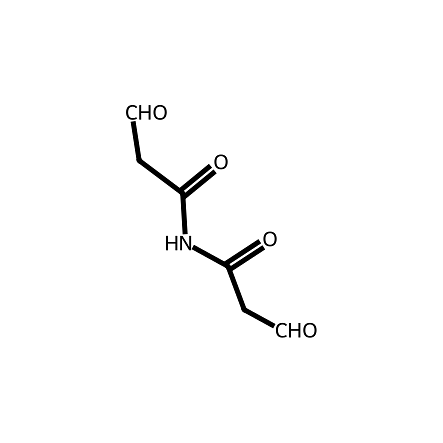 O=CCC(=O)NC(=O)CC=O